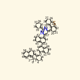 CC1(C)c2cccc(-c3ccc(-c4ccc(-c5cc(-c6cccc7sc8ccccc8c67)nc(-c6ccccc6)n5)c5ccccc45)c4ccccc34)c2-c2ccc3ccccc3c21